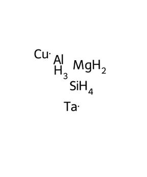 [AlH3].[Cu].[MgH2].[SiH4].[Ta]